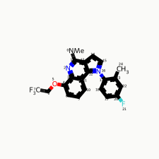 CNc1nc2c(OCC(F)(F)F)cccc2c2c1ccn2-c1ccc(F)cc1C